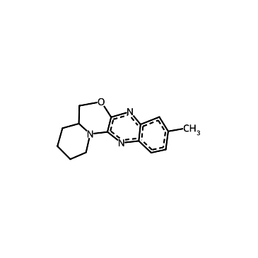 Cc1ccc2nc3c(nc2c1)OCC1CCCCN31